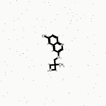 CC1(COc2cnc3ccc(Cl)cc3c2)COC1